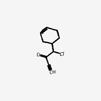 C#CC(=O)C(Cl)C1CC=CCC1